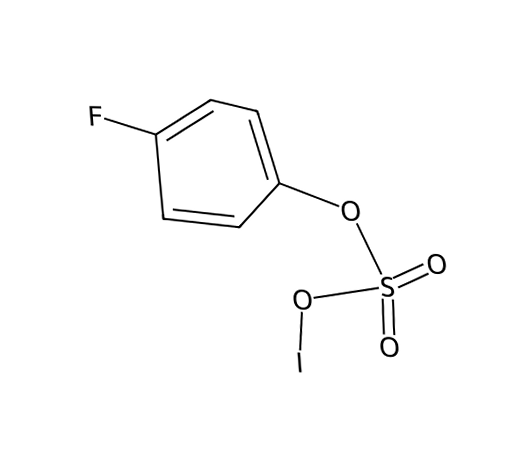 O=S(=O)(OI)Oc1ccc(F)cc1